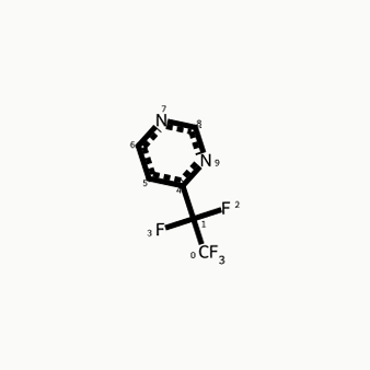 FC(F)(F)C(F)(F)c1ccn[c]n1